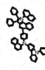 C1=CC2c3cc(N(c4ccc(-c5cc6c(-c7ccccc7)c(-c7ccccc7)n(-c7cccc8ccccc78)c6c6ccccc56)cc4)c4cccc5ccccc45)ccc3N(c3ccccc3)C2C=C1